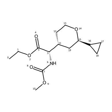 CCOC(=O)[C@@H](NC(=O)OC)[C@@H]1CCO[C@@H](C2CC2)C1